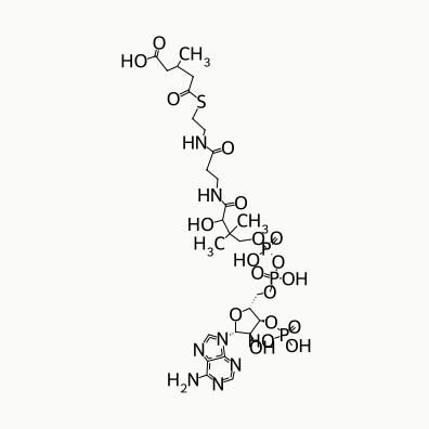 CC(CC(=O)O)CC(=O)SCCNC(=O)CCNC(=O)C(O)C(C)(C)COP(=O)(O)OP(=O)(O)OC[C@H]1O[C@@H](n2cnc3c(N)ncnc32)[C@H](O)[C@@H]1OP(=O)(O)O